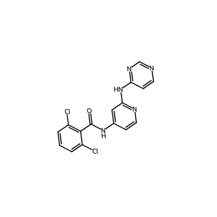 O=C(Nc1ccnc(Nc2ccncn2)c1)c1c(Cl)cccc1Cl